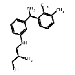 Cc1cccc(C(N)c2cccc(NCC(N)CS)c2)c1C